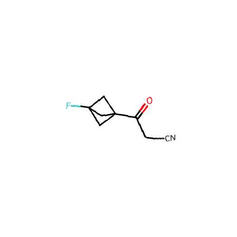 N#CCC(=O)C12CC(F)(C1)C2